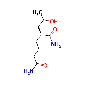 CC(O)C[C@H](CCCC(N)=O)C(N)=O